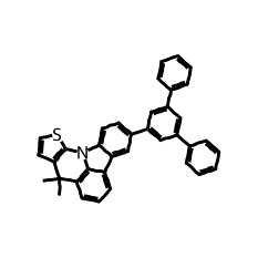 CC1(C)c2ccsc2-n2c3ccc(-c4cc(-c5ccccc5)cc(-c5ccccc5)c4)cc3c3cccc1c32